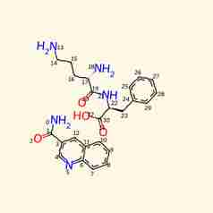 NC(=O)c1cnc2ccccc2c1.NCCC[C@H](N)C(=O)N[C@@H](Cc1ccccc1)C(=O)O